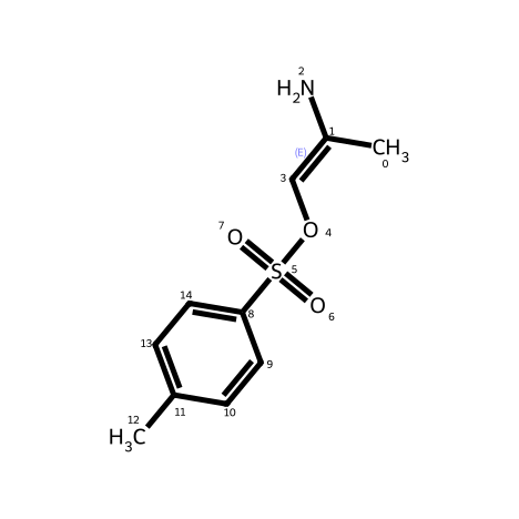 C/C(N)=C\OS(=O)(=O)c1ccc(C)cc1